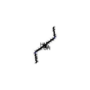 CCCCCCCC/C=C\CCCCCCCCNN(CCCCCCCC/C=C\CCCCCCCC)C(=O)O